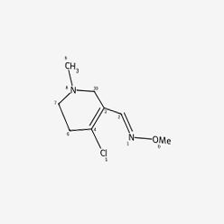 CON=CC1=C(Cl)CCN(C)C1